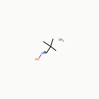 C.CC(C)(C)C=NO